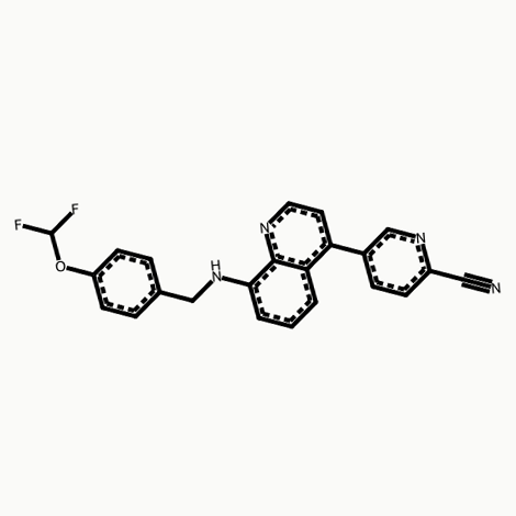 N#Cc1ccc(-c2ccnc3c(NCc4ccc(OC(F)F)cc4)cccc23)cn1